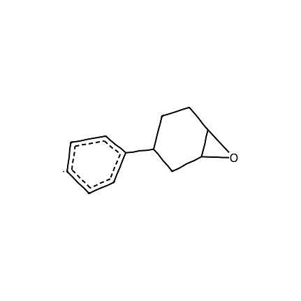 [c]1ccc(C2CCC3OC3C2)cc1